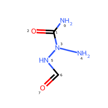 NC(=O)N(N)NC=O